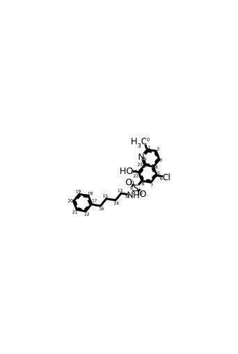 Cc1ccc2c(Cl)cc(S(=O)(=O)NCCCCc3ccccc3)c(O)c2n1